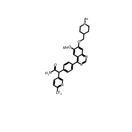 COc1cc2c(-c3ccc(C(C(N)=O)c4ccc(C(F)(F)F)nc4)cc3)ncnc2cc1OCC1CCN(C(C)=O)CC1